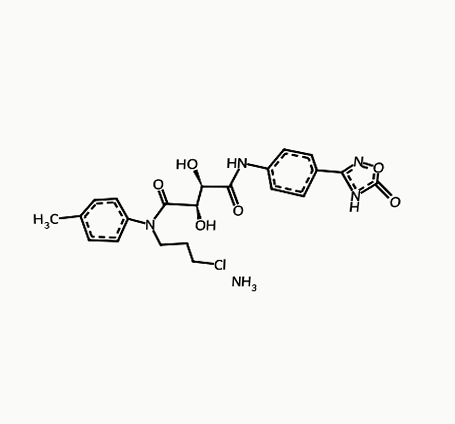 Cc1ccc(N(CCCCl)C(=O)[C@H](O)[C@@H](O)C(=O)Nc2ccc(-c3noc(=O)[nH]3)cc2)cc1.N